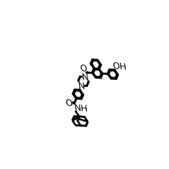 O=C(NCC12CC3CC(CC(C3)C1)C2)c1ccc(N2CCN(C(=O)c3ccc(-c4cccc(O)c4)c4ccccc34)CC2)cc1